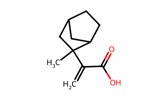 C=C(C(=O)O)C1(C)CC2CCC1C2